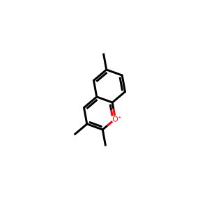 Cc1ccc2[o+]c(C)c(C)cc2c1